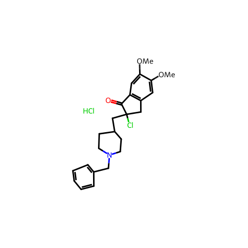 COc1cc2c(cc1OC)C(=O)C(Cl)(CC1CCN(Cc3ccccc3)CC1)C2.Cl